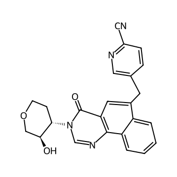 N#Cc1ccc(Cc2cc3c(=O)n([C@H]4CCOC[C@@H]4O)cnc3c3ccccc23)cn1